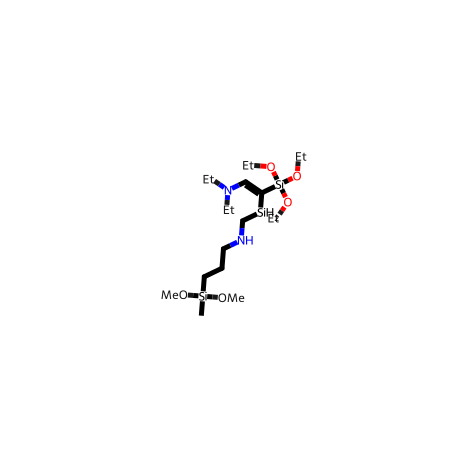 CCO[Si](OCC)(OCC)C(=CN(CC)CC)[SiH2]CNCCC[Si](C)(OC)OC